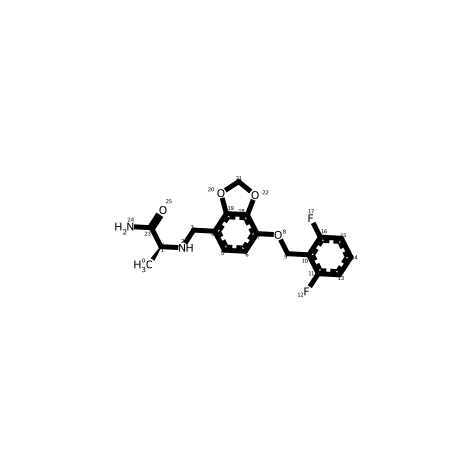 C[C@H](NCc1ccc(OCc2c(F)cccc2F)c2c1OCO2)C(N)=O